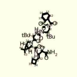 CC(C)(C)[C@H](NC(=O)N[C@H](CN1C(=O)c2ccccc2S1(=O)=O)C(C)(C)C)C(=O)N1C[C@H]2[C@@H]([C@H]1C(=O)NC(CC1CCC1)C(=O)C(N)=O)C2(C)C